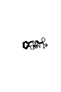 CN(C)C(=O)c1cn(Cc2ccccc2Cl)nn1